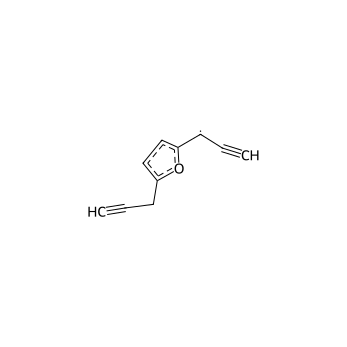 C#C[CH]c1ccc(CC#C)o1